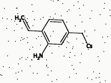 C=Cc1ccc([CH2][Cs])cc1N